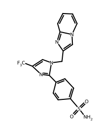 NS(=O)(=O)c1ccc(-c2nc(C(F)(F)F)cn2Cc2cn3ccccc3n2)cc1